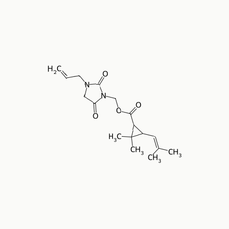 C=CCN1CC(=O)N(COC(=O)C2C(C=C(C)C)C2(C)C)C1=O